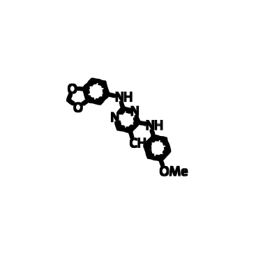 COc1ccc(Nc2nc(Nc3ccc4c(c3)OCO4)ncc2C)cc1